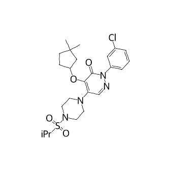 CC(C)S(=O)(=O)N1CCN(c2cnn(-c3cccc(Cl)c3)c(=O)c2OC2CCC(C)(C)C2)CC1